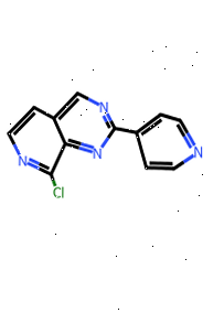 Clc1nccc2cnc(-c3ccncc3)nc12